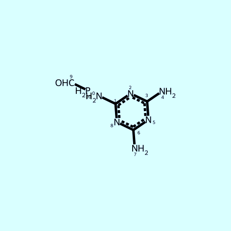 Nc1nc(N)nc(N)n1.O=CP